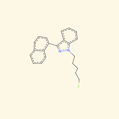 FCCCCCn1nc(-c2cccc3ccccc23)c2ccccc21